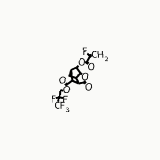 C=C(F)C(=O)OC1C2CC3C1OC(=O)C3C2C(=O)OCC(F)(F)C(F)(F)F